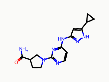 NC(=O)C1CCN(c2nccc(Nc3cc(C4CC4)[nH]n3)n2)C1